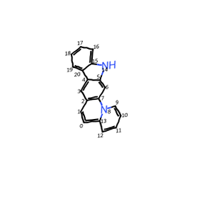 C1=Cc2cc3c(cc2N2C=CC=CC=12)[nH]c1ccccc13